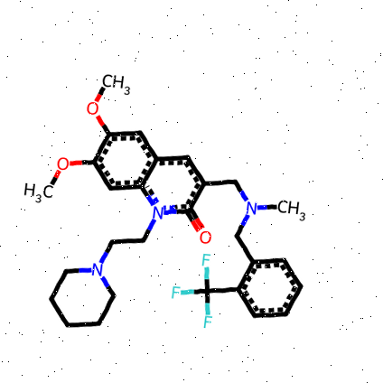 COc1cc2cc(CN(C)Cc3ccccc3C(F)(F)F)c(=O)n(CCN3CCCCC3)c2cc1OC